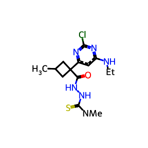 CCNc1cc(C2(C(=O)NNC(=S)NC)CC(C)C2)nc(Cl)n1